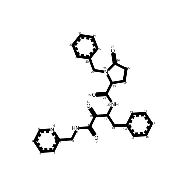 O=C(NCc1ccccn1)C(=O)C(Cc1ccccc1)NC(=O)C1CCC(=O)N1Cc1ccccc1